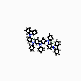 Clc1c(N(c2ccccc2)c2ccc3c4ccc(N(c5ccccc5)c5cccc(-n6c7ccccc7c7ccccc76)c5Cl)cc4n(-c4ccccc4)c3c2)cccc1-n1c2ccccc2c2ccccc21